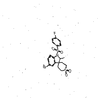 CC1N(S(=O)(=O)c2ccc(F)cc2)c2ccc(Br)cc2C12CCS(=O)(=O)CC2